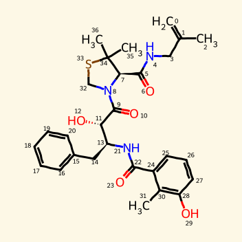 C=C(C)CNC(=O)[C@H]1N(C(=O)[C@@H](O)[C@H](Cc2ccccc2)NC(=O)c2cccc(O)c2C)CSC1(C)C